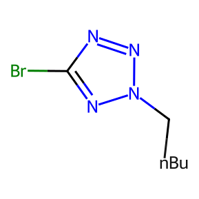 CCCCCn1nnc(Br)n1